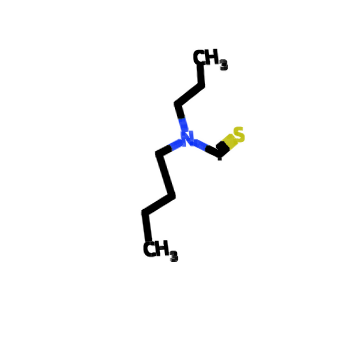 CCCCN([C]=S)CCC